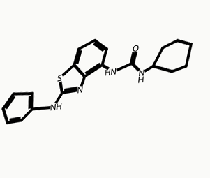 O=C(Nc1cccc2sc(Nc3ccccc3)nc12)NC1CCCCC1